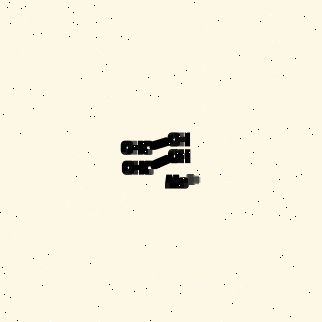 O=[C-]O.O=[C-]O.[Mo+2]